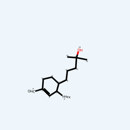 CCCCCCC1C=C(C=O)CCC1CCCC(C)(C)O